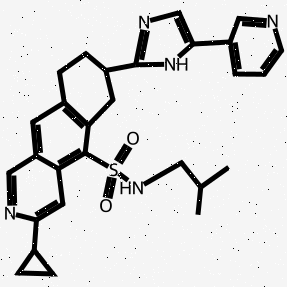 CC(C)CNS(=O)(=O)c1c2c(cc3cnc(C4CC4)cc13)CCC(c1ncc(-c3cccnc3)[nH]1)C2